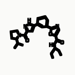 CCC(CC)NC(=O)c1cnc(-c2cccc(-c3cc(C(=O)N4CCCC4C(C)C)n[nH]3)c2)o1